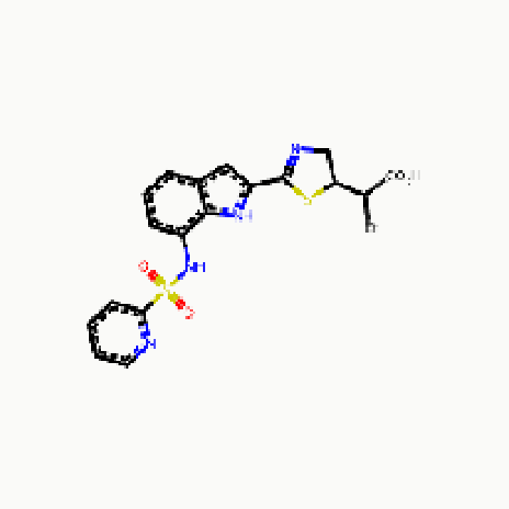 CCC(C(=O)O)C1CN=C(c2cc3cccc(NS(=O)(=O)c4ccccn4)c3[nH]2)S1